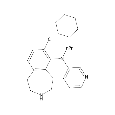 C1CCCCC1.CCCN(c1cccnc1)c1c(Cl)ccc2c1CCNCC2